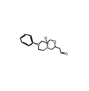 O=CCC1CN2CCN(c3ccccc3)C[C@@H]2CO1